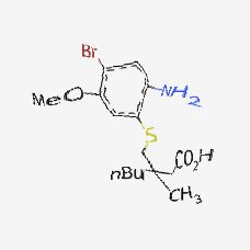 CCCCC(C)(CSc1cc(OC)c(Br)cc1N)C(=O)O